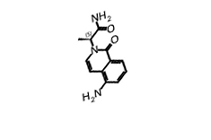 C[C@@H](C(N)=O)n1ccc2c(N)cccc2c1=O